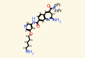 CCCN(CCC)C(=O)C1=Cc2ccc(C(=O)Nc3cncc(OCCCCCN)c3)cc2N=C(N)C1